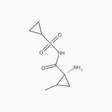 CC1C[C@]1(N)C(=O)NS(=O)(=O)C1CC1